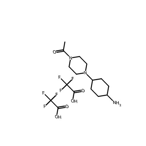 CC(=O)N1CCN(C2CCC(N)CC2)CC1.O=C(O)C(F)(F)F.O=C(O)C(F)(F)F